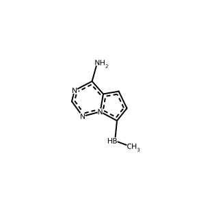 CBc1ccc2c(N)ncnn12